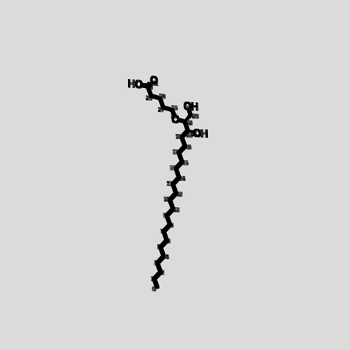 CCCCCCCCCCCCCCCCCCCC[C@H](O)[C@H](CO)OCCCCC(=O)O